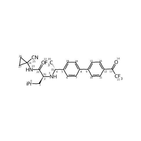 CC(C)C[C@H](N[C@@H](c1ccc(-c2ccc(C(=O)C(F)(F)F)cc2)cc1)C(F)(F)F)C(=O)NC1(C#N)CC1